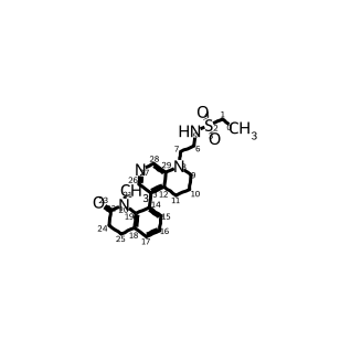 CCS(=O)(=O)NCCN1CCCc2c(-c3cccc4c3N(C)C(=O)CC4)cncc21